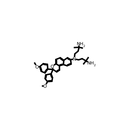 COc1ccc(C2(c3ccc(OC)cc3)C=Cc3c(ccc4cc(N(CCC(C)(C)N)CCC(C)(C)N)ccc34)O2)cc1